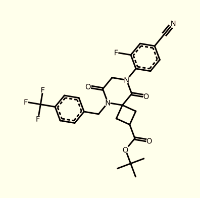 CC(C)(C)OC(=O)C1CC2(C1)C(=O)N(c1ccc(C#N)cc1F)CC(=O)N2Cc1ccc(C(F)(F)F)cc1